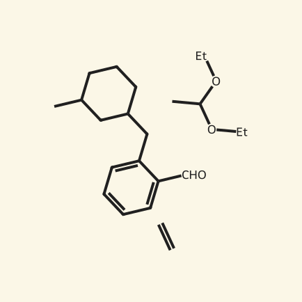 C=C.CC1CCCC(Cc2ccccc2C=O)C1.CCOC(C)OCC